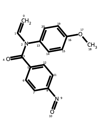 C=CN(C(=O)c1ccc(N=O)cc1)c1ccc(OC)cc1